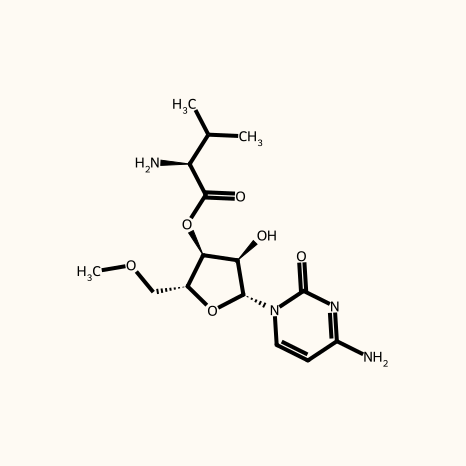 COC[C@H]1O[C@@H](n2ccc(N)nc2=O)[C@H](O)[C@@H]1OC(=O)[C@@H](N)C(C)C